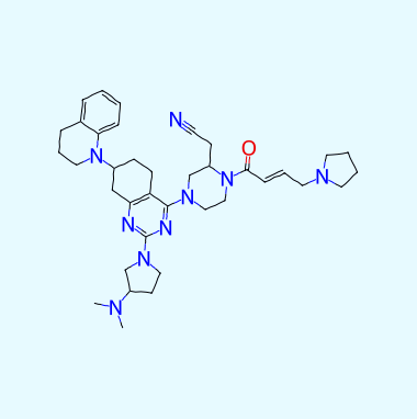 CN(C)C1CCN(c2nc3c(c(N4CCN(C(=O)C=CCN5CCCC5)C(CC#N)C4)n2)CCC(N2CCCc4ccccc42)C3)C1